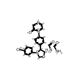 NC=O.NC=O.O=c1cnccn1-c1ccc(C2COCN2c2ccc(Cl)cc2)cc1